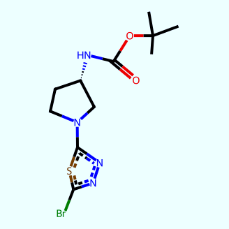 CC(C)(C)OC(=O)N[C@H]1CCN(c2nnc(Br)s2)C1